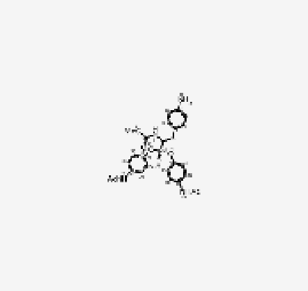 COC(=O)NC(Cc1ccc(N)cc1)P(=O)(Oc1ccc(NC(C)=O)cc1)Oc1ccc(NC(C)=O)cc1